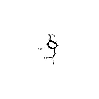 C[C@H](N)Cc1ccc(N)cc1.Cl